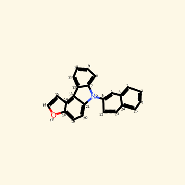 c1ccc2cc(-n3c4ccccc4c4c5ccoc5ccc43)ccc2c1